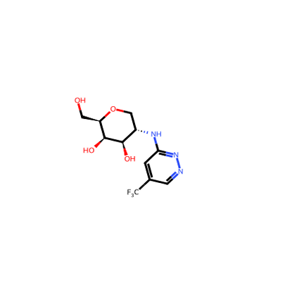 OC[C@H]1OC[C@H](Nc2cc(C(F)(F)F)cnn2)[C@@H](O)[C@H]1O